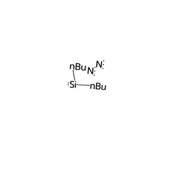 CCCC[Si]CCCC.[N].[N]